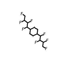 FCC(F)C(F)C(F)C1[CH]CC(C(F)C(F)C(F)CF)[CH]C1